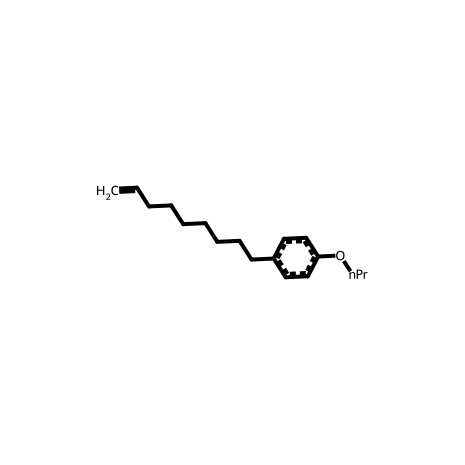 C=CCCCCCCCc1ccc(OCCC)cc1